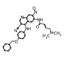 CN(C)C/C=C/C(=O)Nc1cc2c(Nc3ccc(OCc4ccccc4)cc3)c(C#N)cnc2cc1N=O